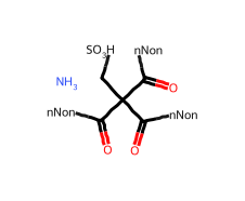 CCCCCCCCCC(=O)C(CS(=O)(=O)O)(C(=O)CCCCCCCCC)C(=O)CCCCCCCCC.N